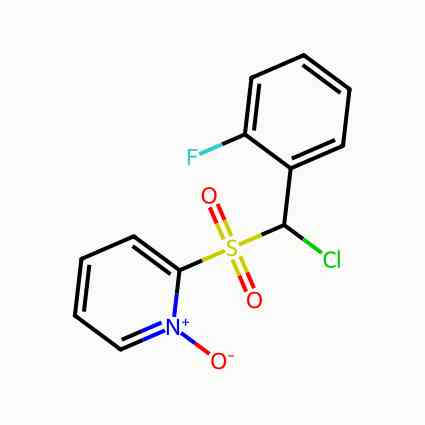 O=S(=O)(c1cccc[n+]1[O-])C(Cl)c1ccccc1F